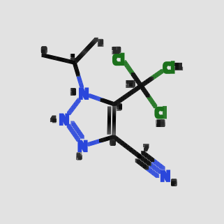 CC(C)n1nnc(C#N)c1C(Cl)(Cl)Cl